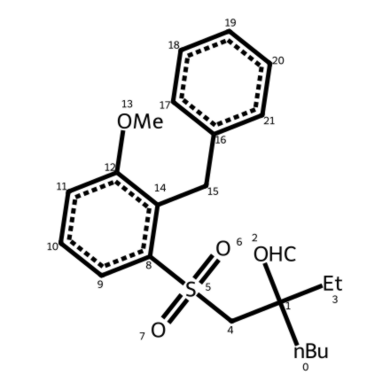 CCCCC(C=O)(CC)CS(=O)(=O)c1cccc(OC)c1Cc1ccccc1